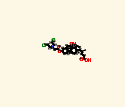 C[C@H](CCC(=O)O)[C@H]1CC[C@H]2[C@@H]3[C@H](O)CC4C[C@H](OC(=O)CN(CCCl)CCCl)CC[C@]4(C)[C@H]3CC[C@]12C